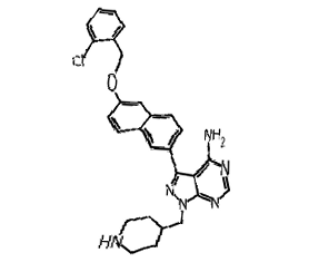 Nc1ncnc2c1c(-c1ccc3cc(OCc4ccccc4Cl)ccc3c1)nn2CC1CCNCC1